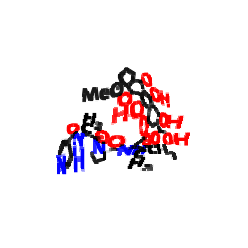 COc1cccc2c1C(=O)c1c(O)c3c(c(O)c1C2=O)C[C@@](O)(C(=O)CO)C[C@@H]3O[C@H]1C[C@H](NC(=O)[C@@H]2CCCN2C(=O)[C@@H](C)NC(=O)c2ccncc2)[C@@H](C)[C@H](C)O1